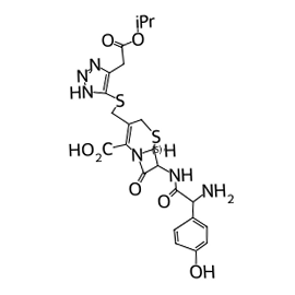 CC(C)OC(=O)Cc1nn[nH]c1SCC1=C(C(=O)O)N2C(=O)C(NC(=O)C(N)c3ccc(O)cc3)[C@@H]2SC1